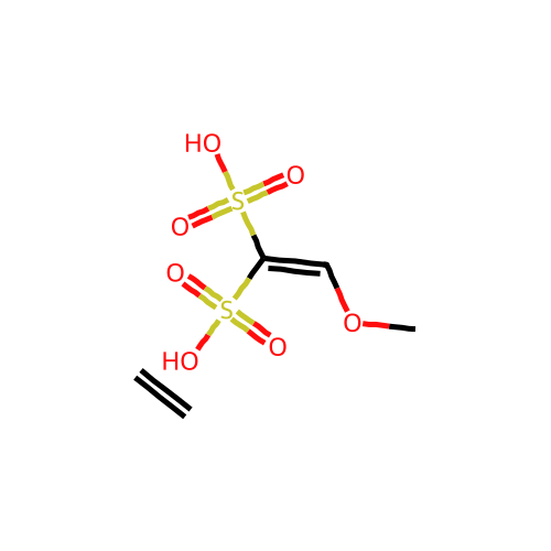 C=C.COC=C(S(=O)(=O)O)S(=O)(=O)O